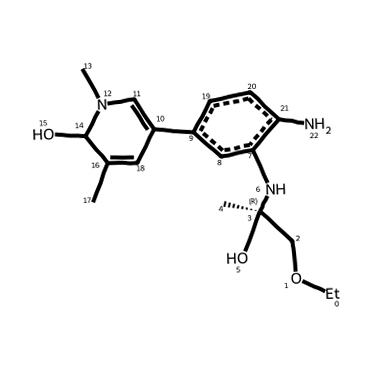 CCOC[C@@](C)(O)Nc1cc(C2=CN(C)C(O)C(C)=C2)ccc1N